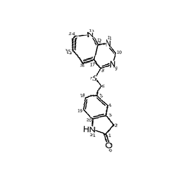 O=C1Cc2cc(CSc3ncnc4ncccc34)ccc2N1